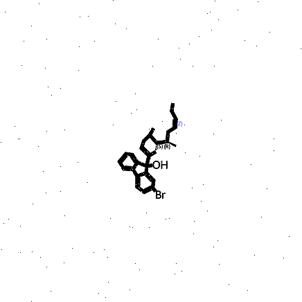 CC/C=C\C[C@@H](C)[C@@H]1CC(C2(O)c3ccccc3-c3ccc(Br)cc32)=CCC1C